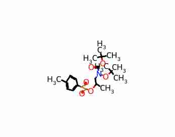 Cc1ccc(S(=O)(=O)OC(C)CN(OC(C)(C)C)C(=O)OC(C)(C)C)cc1